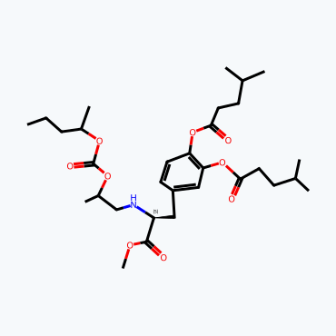 CCCC(C)OC(=O)OC(C)CN[C@@H](Cc1ccc(OC(=O)CCC(C)C)c(OC(=O)CCC(C)C)c1)C(=O)OC